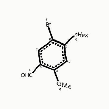 CCCCCCc1cc(OC)c(C=O)cc1Br